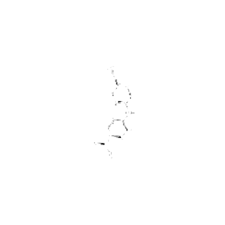 [N-]=[N+]=C1C=CC(Nc2ccc([PH](=O)O)cc2)=CC1